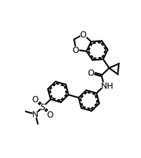 CN(C)S(=O)(=O)c1cccc(-c2cccc(NC(=O)C3(c4ccc5c(c4)OCO5)CC3)c2)c1